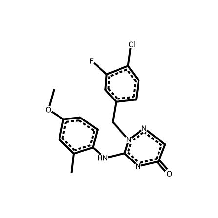 COc1ccc(Nc2nc(=O)cnn2Cc2ccc(Cl)c(F)c2)c(C)c1